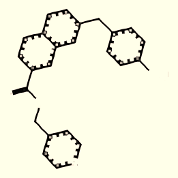 O=C(O)c1ccc(Cc2ccc3ccc(C(=O)OCc4ccncc4)cc3c2)cc1